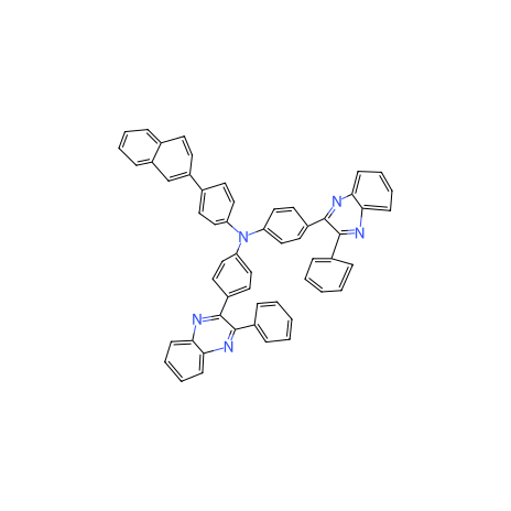 c1ccc(-c2nc3ccccc3nc2-c2ccc(N(c3ccc(-c4ccc5ccccc5c4)cc3)c3ccc(-c4nc5ccccc5nc4-c4ccccc4)cc3)cc2)cc1